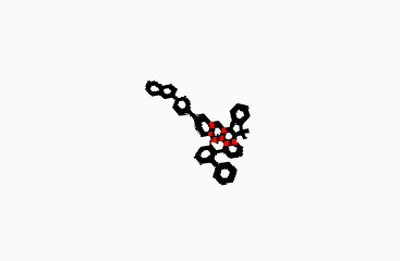 CC1(C)c2ccccc2-c2cc(N(c3ccc(-c4ccc(-c5ccc6ccccc6c5)cc4)cc3)c3cccc(-c4ccccc4)c3-c3ccccc3-c3ccccc3)ccc21